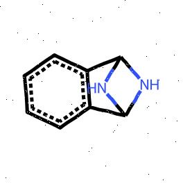 c1ccc2c(c1)C1NC2N1